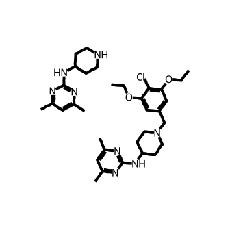 CCOc1cc(CN2CCC(Nc3nc(C)cc(C)n3)CC2)cc(OCC)c1Cl.Cc1cc(C)nc(NC2CCNCC2)n1